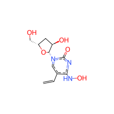 C=Cc1cn([C@@H]2O[C@H](CO)C[C@H]2O)c(=O)nc1NO